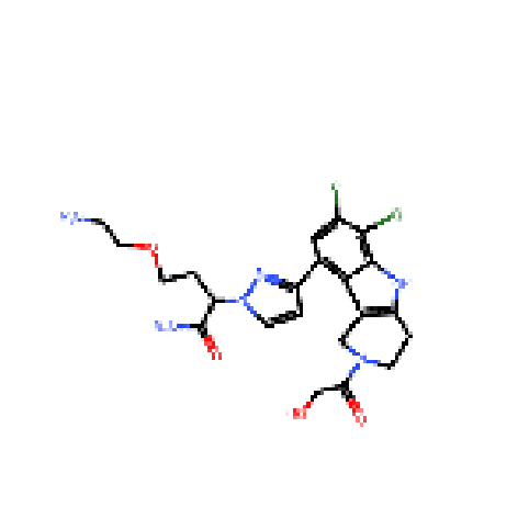 NCCOCCC(C(N)=O)n1ccc(-c2cc(Cl)c(Cl)c3[nH]c4c(c23)CN(C(=O)CO)CC4)n1